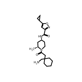 C[C@H]1C[C@@H](NC(=O)c2cc(C3CC3)on2)CCN1C(=O)CC1(CN)CCCCC1